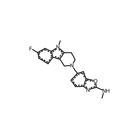 CNc1nc2ccc(N3CCc4c(c5ccc(F)cc5n4C)C3)cc2o1